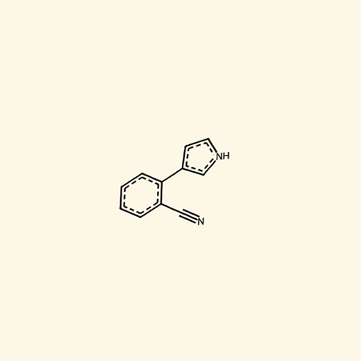 N#Cc1ccccc1-c1cc[nH]c1